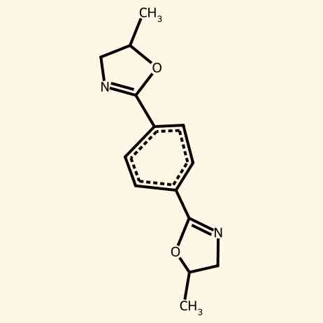 CC1CN=C(c2ccc(C3=NCC(C)O3)cc2)O1